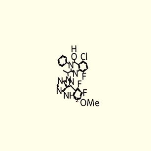 COc1ccc(-c2nn(C(C)C3=Nc4c(F)ccc(Cl)c4C(O)N3c3ccccc3)c3ncnc(N)c23)c(F)c1F